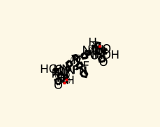 CN(C(=O)O)[C@H](C(=O)N1[C@H](c2nc3cc([C@H]4CC[C@H](c5ccc6[nH]c([C@@H]7C[C@@H]8CCC[C@@H]8N7C(=O)[C@H](C7CCOCC7)N(C)C(=O)O)nc6c5)N4c4cc(F)c(N5CCCCC5)c(F)c4)ccc3[nH]2)C[C@@H]2CCC[C@@H]21)C1CCOCC1